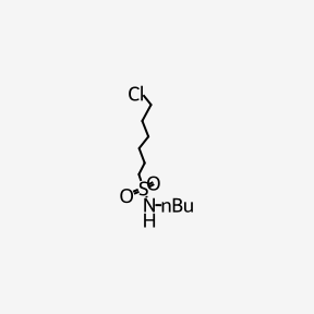 CCCCNS(=O)(=O)CCCCCCCl